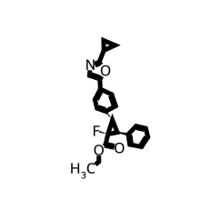 CCOC(=O)[C@]1(F)[C@H](c2ccccc2)[C@H]1c1ccc(-c2cnc(C3CC3)o2)cc1